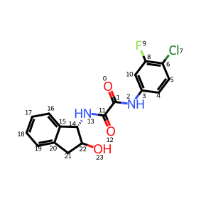 O=C(Nc1ccc(Cl)c(F)c1)C(=O)N[C@H]1c2ccccc2CC1O